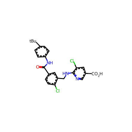 CC(C)(C)c1ccc(NC(=O)c2ccc(Cl)c(CNc3ncc(C(=O)O)cc3Cl)c2)cc1